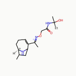 CCC(C)(O)NC(=O)CO/N=C(\C)C1=CCC[C@H]2NC1CC2C